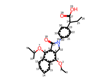 CCOc1c2c(c(OC(C)C)c3ccccc13)C(=O)N(c1ccc(C(CC)C(=O)O)cc1)C2